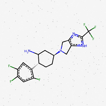 NC1C[C@@H](N2Cc3nc(C(F)(F)F)[nH]c3C2)CC[C@@H]1c1cc(F)c(F)cc1F